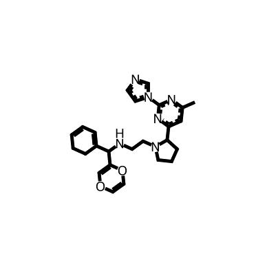 Cc1cc(C2CCCN2CCNC(C2=CC=CCC2)C2=COC=CO2)nc(-n2ccnc2)n1